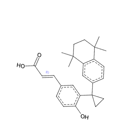 CC1(C)CCC(C)(C)c2cc(C3(c4cc(/C=C/C(=O)O)ccc4O)CC3)ccc21